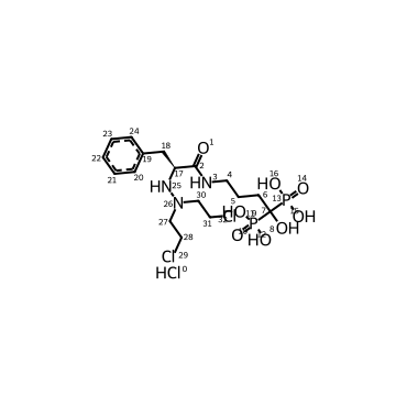 Cl.O=C(NCCCC(O)(P(=O)(O)O)P(=O)(O)O)[C@H](Cc1ccccc1)NN(CCCl)CCCl